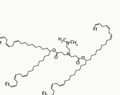 CC/C=C\C/C=C\C/C=C\CCCCCCCCC(CCCCCCCC/C=C\C/C=C\C/C=C\CC)OC(=O)CCN(CCC(=O)OC(CCCCCCCC/C=C\C/C=C\C/C=C\CC)CCCCCCCC/C=C\C/C=C\C/C=C\CC)CCN(C)C